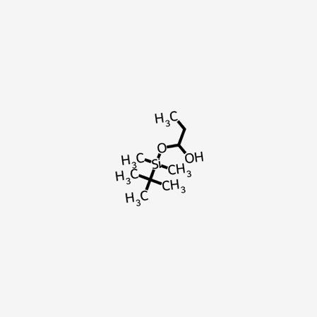 CCC(O)O[Si](C)(C)C(C)(C)C